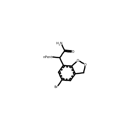 CCCCCC(C(N)=O)c1cc(Br)cc2c1OOC2